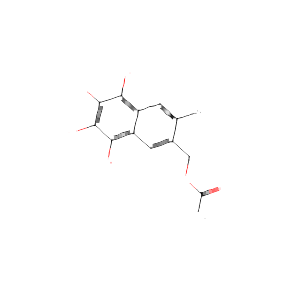 CC(C)(C)C(=O)OCc1cc2c(O)c(O)c(O)c(O)c2cc1[N+](=O)[O-]